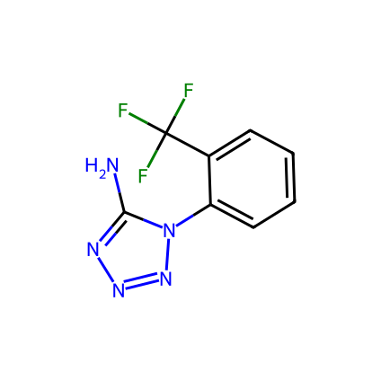 Nc1nnnn1-c1ccccc1C(F)(F)F